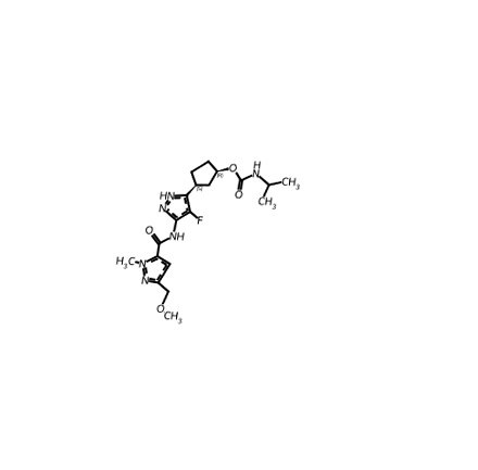 COCc1cc(C(=O)Nc2n[nH]c([C@H]3CC[C@@H](OC(=O)NC(C)C)C3)c2F)n(C)n1